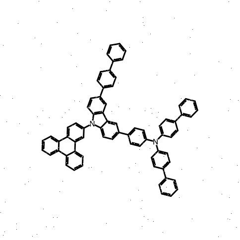 c1ccc(-c2ccc(-c3ccc4c(c3)c3cc(-c5ccc(N(c6ccc(-c7ccccc7)cc6)c6ccc(-c7ccccc7)cc6)cc5)ccc3n4-c3ccc4c5ccccc5c5ccccc5c4c3)cc2)cc1